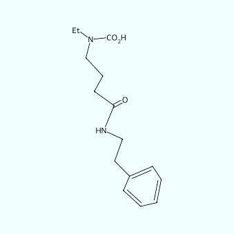 CCN(CCCC(=O)NCCc1ccccc1)C(=O)O